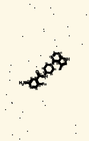 Cc1c[nH]c2ncnc(N3CCC(NC(=O)c4cc(N)ncc4F)CC3)c12